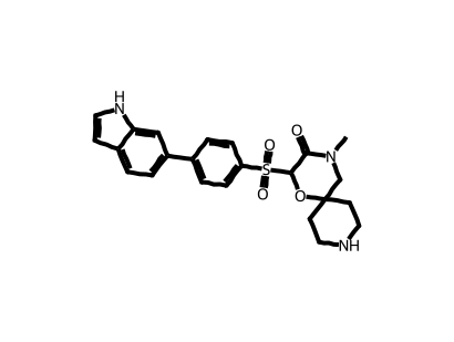 CN1CC2(CCNCC2)OC(S(=O)(=O)c2ccc(-c3ccc4cc[nH]c4c3)cc2)C1=O